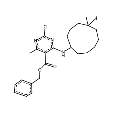 Cc1nc(Cl)nc(NC2CCCCCC(C)(I)CCC2)c1C(=O)OCc1ccccc1